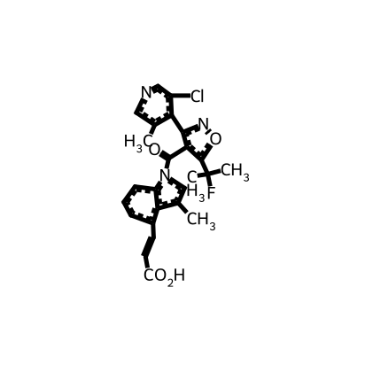 Cc1cncc(Cl)c1-c1noc(C(C)(C)F)c1C(=O)n1cc(C)c2c(/C=C/C(=O)O)cccc21